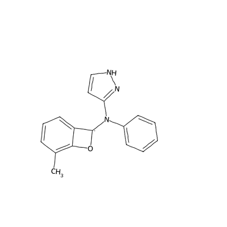 Cc1cccc2c1O[C]2N(c1ccccc1)c1cc[nH]n1